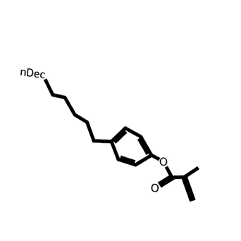 C=C(C)C(=O)Oc1ccc(CCCCCCCCCCCCCCC)cc1